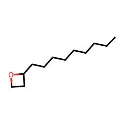 CCCCCCCCCC1CCO1